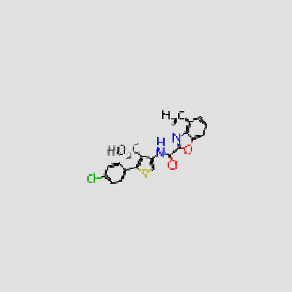 Cc1cccc2oc(C(=O)Nc3csc(-c4ccc(Cl)cc4)c3C(=O)O)nc12